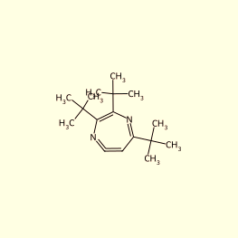 CC(C)(C)C1=NC(C(C)(C)C)=C(C(C)(C)C)N=C=C1